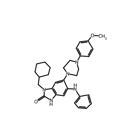 COc1ccc(N2CCN(c3cc4c(cc3Nc3ccccc3)[nH]c(=O)n4CC3CCCCC3)CC2)cc1